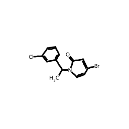 CC(c1cccc(Cl)c1)n1ccc(Br)cc1=O